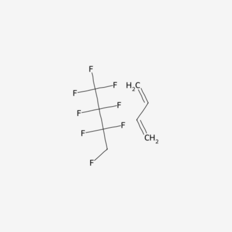 C=CC=C.FCC(F)(F)C(F)(F)C(F)(F)F